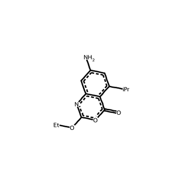 CCOc1nc2cc(N)cc(C(C)C)c2c(=O)o1